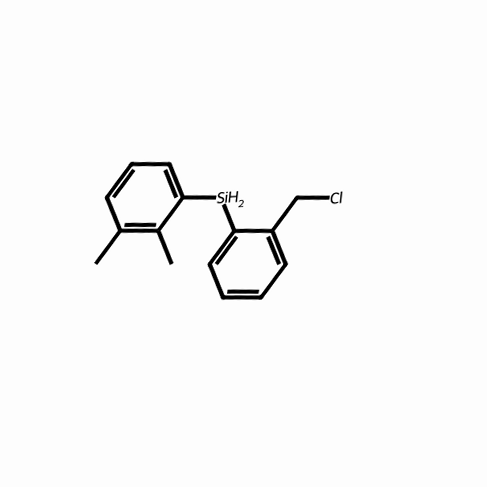 Cc1cccc([SiH2]c2ccccc2CCl)c1C